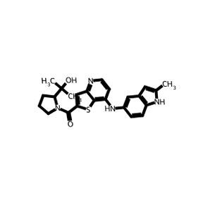 Cc1cc2cc(Nc3ccnc4cc(C(=O)N5CCCC5C(C)(C)O)sc34)ccc2[nH]1